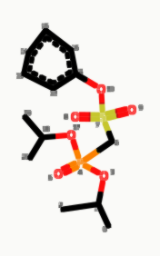 CC(C)OP(=O)(CS(=O)(=O)Oc1ccccc1)OC(C)C